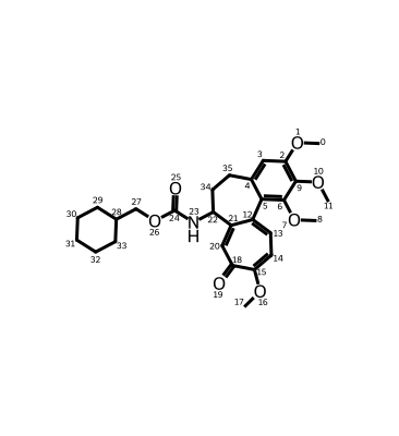 COc1cc2c(c(OC)c1OC)-c1ccc(OC)c(=O)cc1C(NC(=O)OCC1CCCCC1)CC2